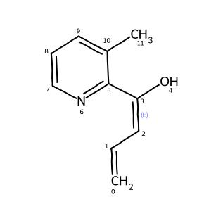 C=C/C=C(/O)c1ncccc1C